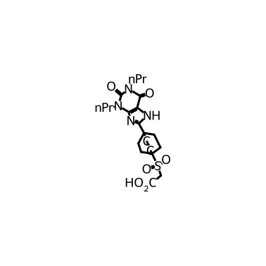 CCCn1c(=O)c2[nH]c(C34CCC(S(=O)(=O)CC(=O)O)(CC3)CC4)nc2n(CCC)c1=O